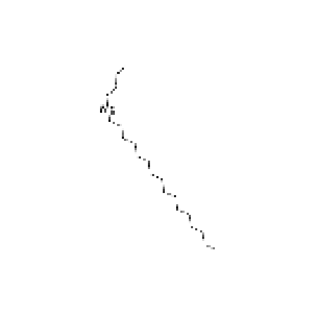 CCCCCCCCCCCCCCC[CH2][Mg][CH2]CCC